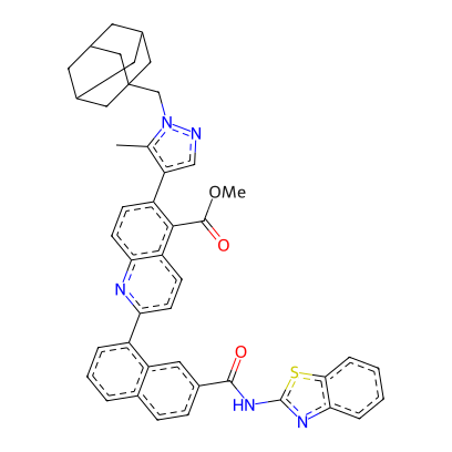 COC(=O)c1c(-c2cnn(CC34CC5CC(CC(C5)C3)C4)c2C)ccc2nc(-c3cccc4ccc(C(=O)Nc5nc6ccccc6s5)cc34)ccc12